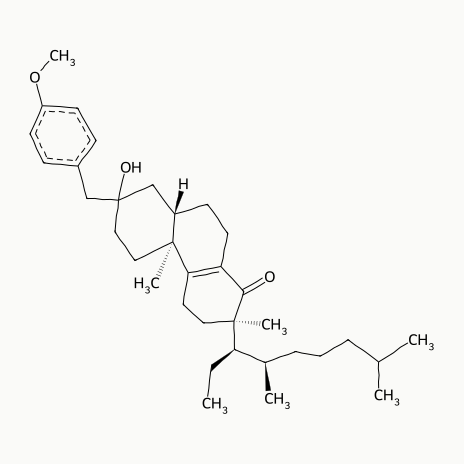 CC[C@H]([C@H](C)CCCC(C)C)[C@@]1(C)CCC2=C(CC[C@H]3CC(O)(Cc4ccc(OC)cc4)CC[C@]23C)C1=O